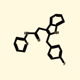 O=C(Cc1c(Cc2ccc(F)cc2)[nH]c2ccccc12)Nc1ccccn1